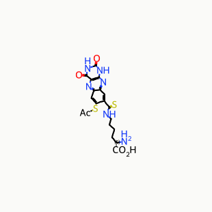 CC(=O)Sc1cc2nc3c(=O)[nH]c(=O)[nH]c3nc2cc1C(=S)NCCCC[C@H](N)C(=O)O